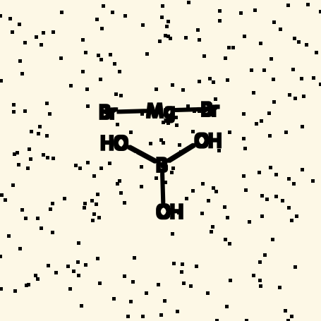 OB(O)O.[Br][Mg][Br]